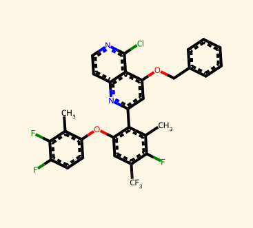 Cc1c(Oc2cc(C(F)(F)F)c(F)c(C)c2-c2cc(OCc3ccccc3)c3c(Cl)nccc3n2)ccc(F)c1F